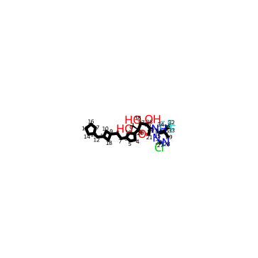 OC[C@]1(C2CCC(CCC3CC(CC4CCCC4)C3)C2)OC[C@H](Nc2nc(Cl)ncc2C(F)(F)F)[C@@H](O)[C@H]1O